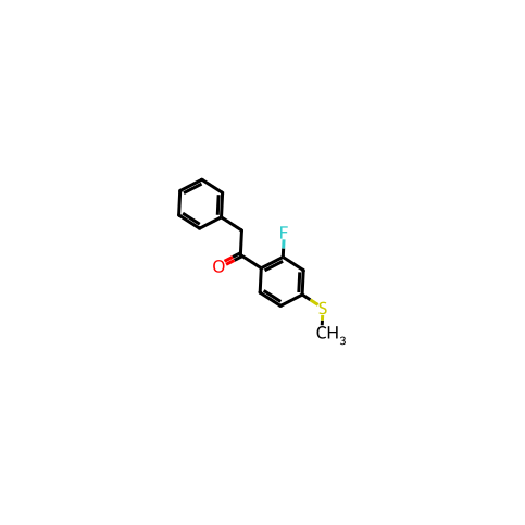 CSc1ccc(C(=O)Cc2ccccc2)c(F)c1